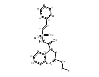 CCOC(=O)CN(C(=O)NS(=O)(=O)C=Cc1ccccc1)c1ccccc1